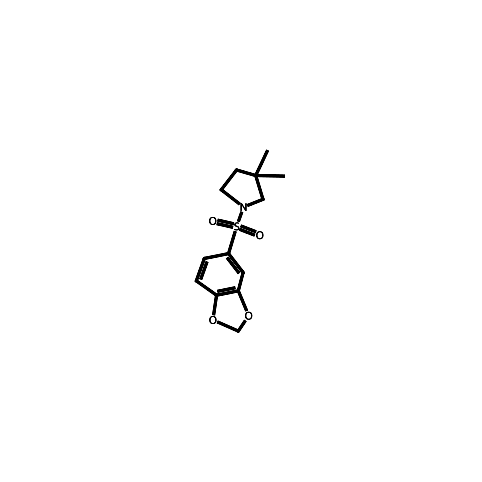 CC1(C)CCN(S(=O)(=O)c2ccc3c(c2)OCO3)C1